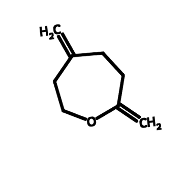 C=C1CCOC(=C)CC1